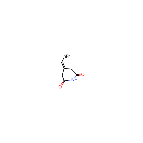 CCCC=C1CC(=O)NC(=O)C1